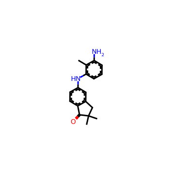 Cc1c(N)cccc1Nc1ccc2c(c1)CC(C)(C)C2=O